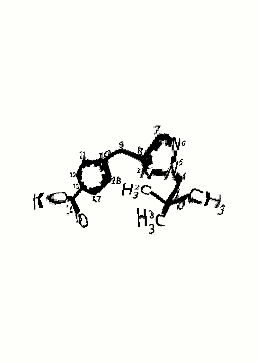 CC(C)(C)Cn1ncc(Cc2ccc(C(=O)O)cc2)n1